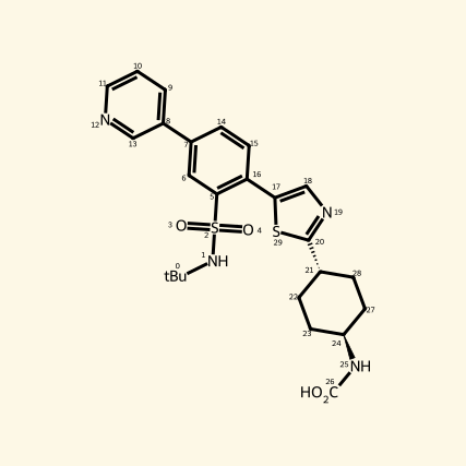 CC(C)(C)NS(=O)(=O)c1cc(-c2cccnc2)ccc1-c1cnc([C@H]2CC[C@H](NC(=O)O)CC2)s1